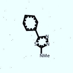 CNc1nnc(-c2ccccc2)s1